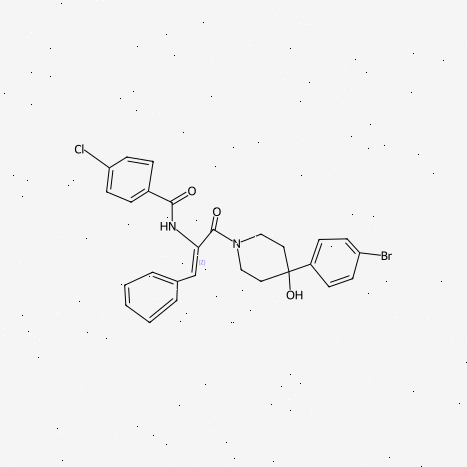 O=C(N/C(=C\c1ccccc1)C(=O)N1CCC(O)(c2ccc(Br)cc2)CC1)c1ccc(Cl)cc1